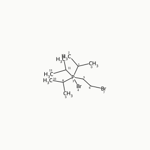 CC(C)P(Br)(CCBr)(C(C)C)C(C)C